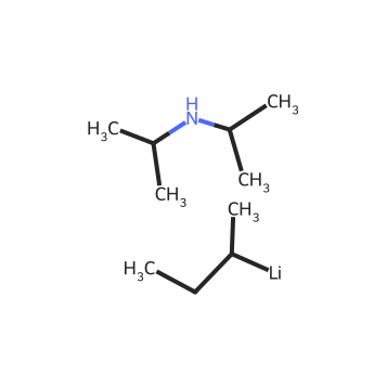 CC(C)NC(C)C.[Li][CH](C)CC